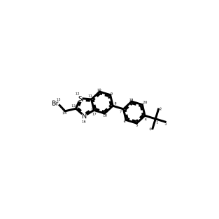 CC(C)(C)c1ccc(-c2ccc3sc(CBr)nc3c2)cc1